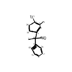 CCC1=C(C)C=C(C(C)(N=O)c2ccccc2)CC1